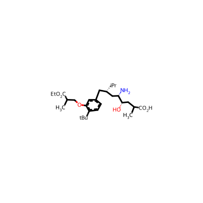 CCOC(=O)C(C)COc1cc(C[C@@H](C[C@H](N)[C@@H](O)CC(C)C(=O)O)C(C)C)ccc1C(C)(C)C